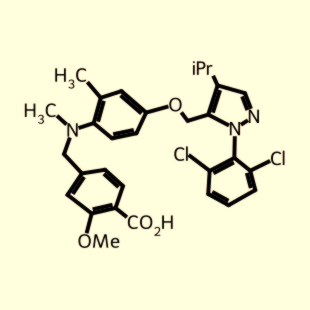 COc1cc(CN(C)c2ccc(OCc3c(C(C)C)cnn3-c3c(Cl)cccc3Cl)cc2C)ccc1C(=O)O